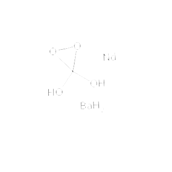 OC1(O)OO1.[BaH2].[Nd]